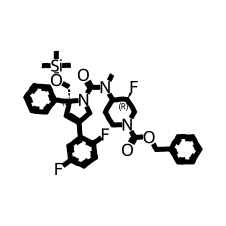 CN(C(=O)N1CC(c2cc(F)ccc2F)=C[C@@]1(CO[Si](C)(C)C)c1ccccc1)C1CCN(C(=O)OCc2ccccc2)C[C@H]1F